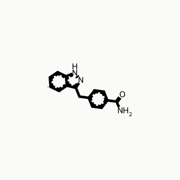 NC(=O)c1ccc(Cc2n[nH]c3cc[c]cc23)cc1